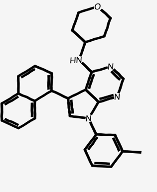 Cc1cccc(-n2cc(-c3cccc4ccccc34)c3c(NC4CCOCC4)ncnc32)c1